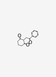 O=C(CC1C(=O)CCCC1=O)c1ccccc1